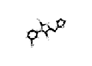 O=C1C(=Cc2ccco2)SC(=S)N1c1cccc(Br)c1